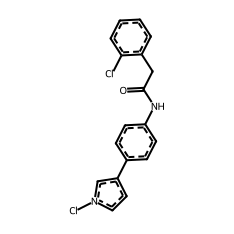 O=C(Cc1ccccc1Cl)Nc1ccc(-c2ccn(Cl)c2)cc1